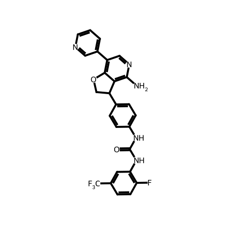 Nc1ncc(-c2cccnc2)c2c1C(c1ccc(NC(=O)Nc3cc(C(F)(F)F)ccc3F)cc1)CO2